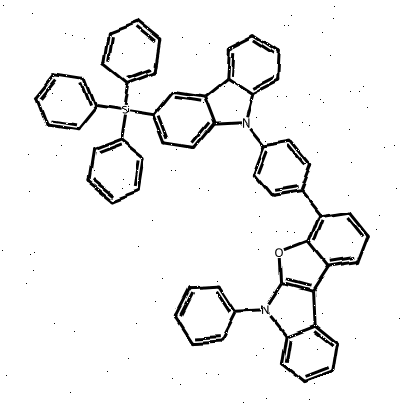 c1ccc(-n2c3ccccc3c3c4cccc(-c5ccc(-n6c7ccccc7c7cc([Si](c8ccccc8)(c8ccccc8)c8ccccc8)ccc76)cc5)c4oc32)cc1